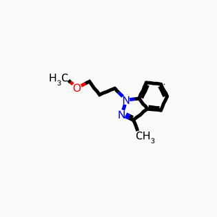 COCCCn1nc(C)c2cc[c]cc21